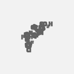 O=C(O)c1ccc2nc(CN3CC[C@@H](Nc4ccc(F)c(OCc5ccc(Cl)cc5F)c4)C3)n(C[C@@H]3CCO3)c2c1